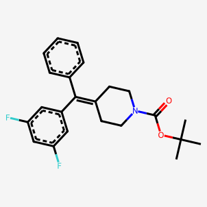 CC(C)(C)OC(=O)N1CCC(=C(c2ccccc2)c2cc(F)cc(F)c2)CC1